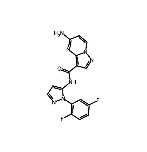 Nc1ccn2ncc(C(=O)Nc3ccnn3-c3cc(F)ccc3F)c2n1